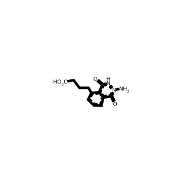 Nn1[nH]c(=O)c2c(CCCC(=O)O)cccc2c1=O